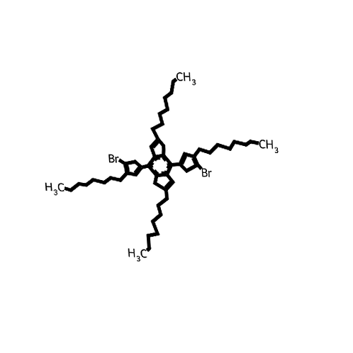 CCCCCCCCC1=Cc2c(c(C3=CC(CCCCCCCC)=C(Br)C3)c3c(c2C2=CC(CCCCCCCC)=C(Br)C2)CC(CCCCCCCC)=C3)C1